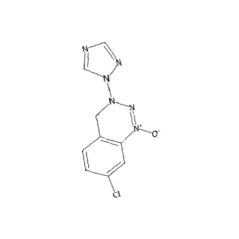 [O-][N+]1=NN(n2cncn2)Cc2ccc(Cl)cc21